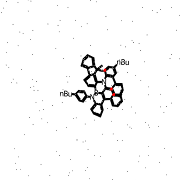 CCCCc1ccc(N2B3c4ccc5c(c4N(c4ccc(CCCC)cc4-c4ccccc4)c4cc6ccccc6c(c43)-c3ccccc32)C(C)(C)c2ccccc2-5)cc1